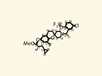 COC(=O)[C@H](C)[C@H](c1ccc2c(c1F)OC1(CC2)CCN([C@H](C)c2cc(Cl)ccc2OC(F)(F)F)CC1)C1CC1